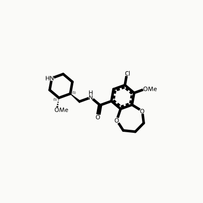 COc1c(Cl)cc(C(=O)NC[C@@H]2CCNC[C@H]2OC)c2c1OCCCO2